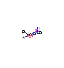 CC(C)CCN1C(=O)C(CC(=O)N2CCC(N3Cc4ccccc4NC3=O)CC2)SC1CCc1ccccc1